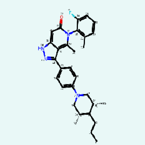 CCCC1[C@H](C)CN(c2ccc(-c3n[nH]c4cc(=O)n(-c5c(C)cccc5F)c(C)c34)cc2)C[C@@H]1C